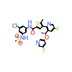 Cc1sc(C(=O)Nc2cc(Cl)cc(NS(C)(=O)=O)c2)cc1-c1ncc(F)cc1[C@H](C)Oc1cncc(F)c1